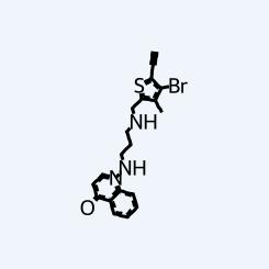 C#Cc1sc(CNCCCNn2ccc(=O)c3ccccc32)c(C)c1Br